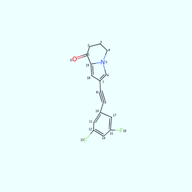 O=C1CCCn2cc(C#Cc3cc(F)cc(F)c3)cc21